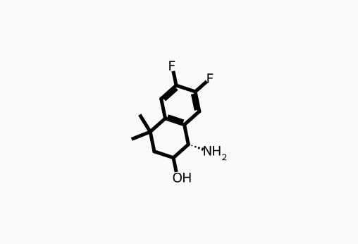 CC1(C)CC(O)[C@@H](N)c2cc(F)c(F)cc21